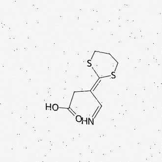 N=CC(CC(=O)O)=C1SCCCS1